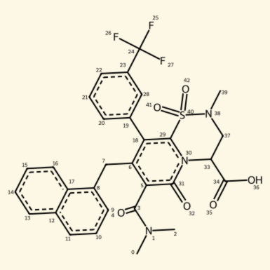 CN(C)C(=O)c1c(Cc2cccc3ccccc23)c(-c2cccc(C(F)(F)F)c2)c2n(c1=O)C(C(=O)O)CN(C)S2(=O)=O